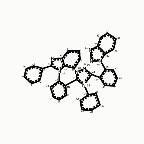 c1ccc(-c2nc3ccccc3n2-c2ccccc2-c2nnc(-c3ccccc3-n3nnc4ccccc43)n2-c2ccccc2)cc1